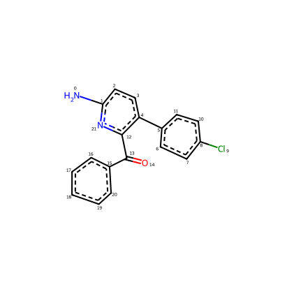 Nc1ccc(-c2ccc(Cl)cc2)c(C(=O)c2ccccc2)n1